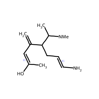 C=C(/C=C(\C)O)C(C/C=C/N)C(C)NC